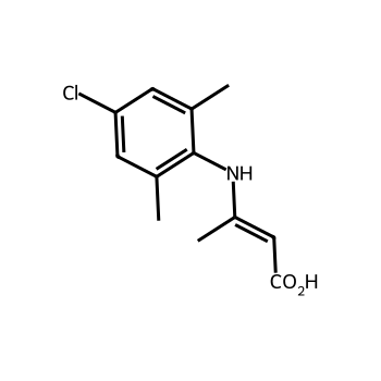 C/C(=C\C(=O)O)Nc1c(C)cc(Cl)cc1C